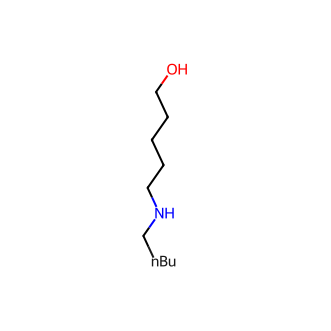 CCCCCNCCCCCO